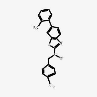 [O-][S+](Cc1ccc(C(F)(F)F)cc1)c1nc2ccc(-c3ccccc3C(F)(F)F)cc2o1